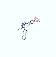 CCCCc1nnc(C(=O)NCC2(F)CCN(C(=O)OC(C)(C)C)CC2)cc1-c1ccc(OC2CCCCC2)cc1